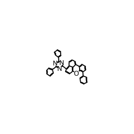 c1ccc(-c2nc(-c3ccccc3)nc(-c3ccc4c5c(cccc35)-c3cccc(-c5ccccc5)c3O4)n2)cc1